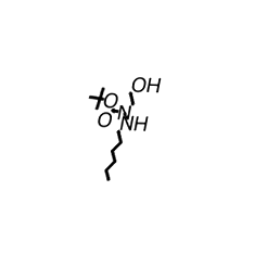 CCCCCCNN(CCO)C(=O)OC(C)(C)C